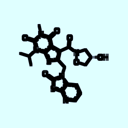 CC(C)n1c(=O)n(C)c(=O)c2c(C(=O)N3C[C@H](O)CO3)c(Cn3c(=O)sc4ncccc43)sc21